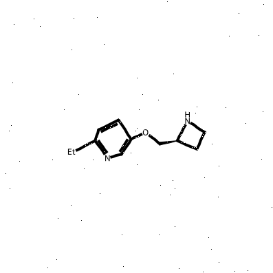 CCc1ccc(OC[C@@H]2CCN2)cn1